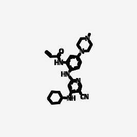 C=CC(=O)Nc1cc(N2CCN(C)CC2)ccc1Nc1cc(NC2CCCCC2)c(C#N)cn1